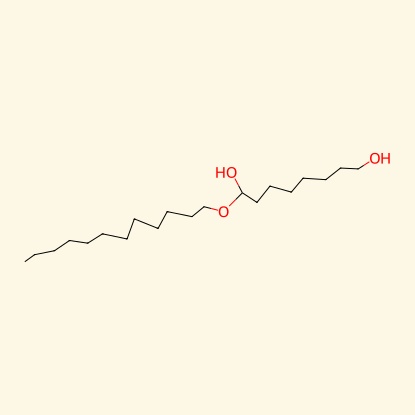 CCCCCCCCCCCCOC(O)CCCCCCCO